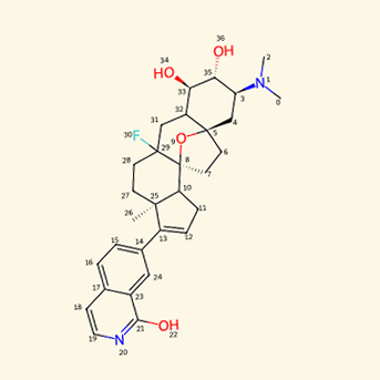 CN(C)[C@H]1C[C@@]23CC[C@]4(O2)C2CC=C(c5ccc6ccnc(O)c6c5)[C@@]2(C)CCC4(F)CC3[C@@H](O)[C@@H]1O